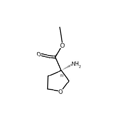 COC(=O)[C@]1(N)CCOC1